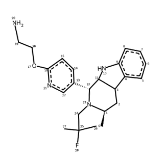 C[C@@H]1CC2c3ccccc3NC2[C@@H](c2ccc(OCCN)nc2)N1CC(C)(C)F